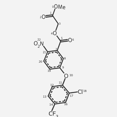 COC(=O)COC(=O)c1cc(Oc2ccc(C(F)(F)F)cc2Cl)ccc1[N+](=O)[O-]